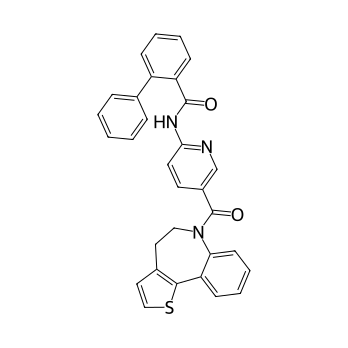 O=C(Nc1ccc(C(=O)N2CCc3ccsc3-c3ccccc32)cn1)c1ccccc1-c1ccccc1